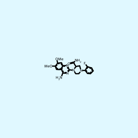 COc1cc2nc(N3CCN(c4ccccc4F)CC3C(N)=O)nc(N)c2cc1OC